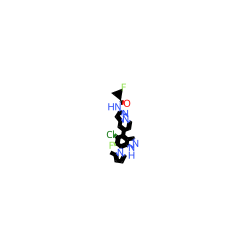 Cc1cccn1-c1c(F)c(Cl)c(-c2ccn3nc(NC(=O)[C@@H]4C[C@@H]4F)cc3c2)c2cn[nH]c12